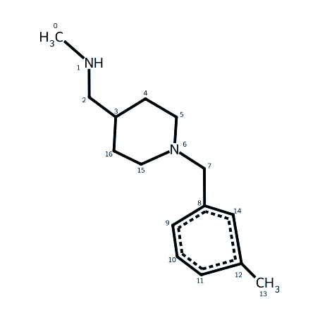 CNCC1CCN(Cc2cccc(C)c2)CC1